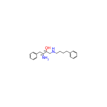 N[C@@H](Cc1ccccc1)[C@@H](O)CNCCCCc1ccccc1